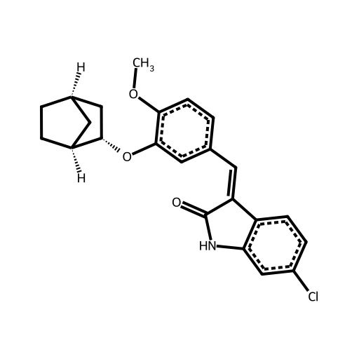 COc1ccc(/C=C2\C(=O)Nc3cc(Cl)ccc32)cc1O[C@H]1C[C@@H]2CC[C@H]1C2